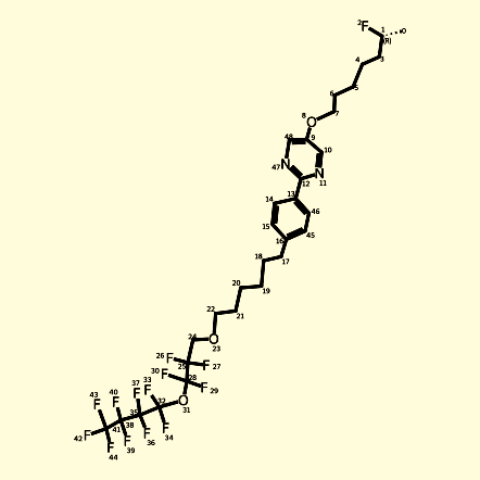 C[C@@H](F)CCCCCOc1cnc(-c2ccc(CCCCCCOCC(F)(F)C(F)(F)OC(F)(F)C(F)(F)C(F)(F)C(F)(F)F)cc2)nc1